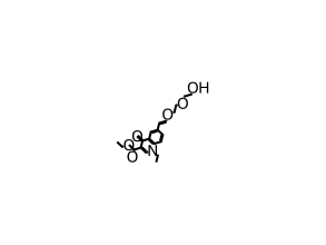 CCOC(=O)c1cn(CC)c2ccc(C=COCCOCCO)cc2c1=O